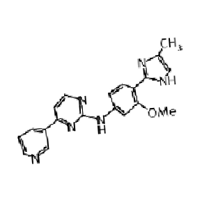 COc1cc(Nc2nccc(-c3cccnc3)n2)ccc1-c1nc(C)c[nH]1